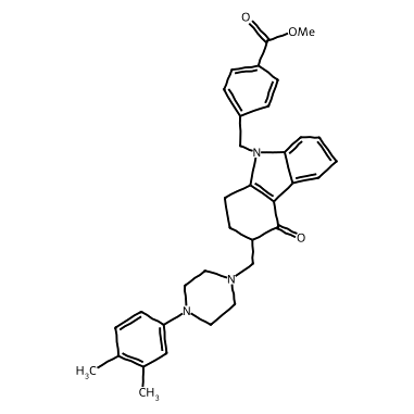 COC(=O)c1ccc(Cn2c3c(c4ccccc42)C(=O)C(CN2CCN(c4ccc(C)c(C)c4)CC2)CC3)cc1